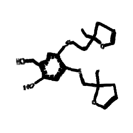 CC1(CSc2cc(O)c(O)cc2SCC2(C)CC=CO2)CC=CO1